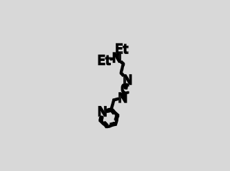 CCN(CC)CCN=C=NCc1ccccn1